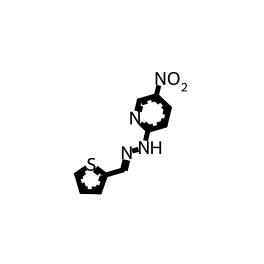 O=[N+]([O-])c1ccc(NN=Cc2cccs2)nc1